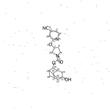 N#Cc1ccnc(OC2CCN(C(=O)OC3C4CC5CC3CC(O)(C5)C4)C2)c1